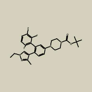 CCn1cc(-c2ccc(N3CCN(C(=O)OC(C)(C)C)CC3)cc2-c2c(F)ccc(F)c2F)c(C)n1